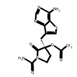 NC(=O)N1CC[C@](Cc2csc3c(N)ncnc23)(OC(=O)C(F)(F)F)C1=O